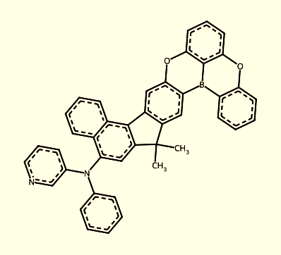 CC1(C)c2cc3c(cc2-c2c1cc(N(c1ccccc1)c1cccnc1)c1ccccc21)Oc1cccc2c1B3c1ccccc1O2